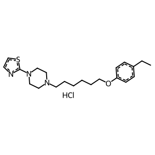 CCc1ccc(OCCCCCCN2CCN(c3nccs3)CC2)cc1.Cl